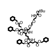 CC(C)(C)OC(=O)NCCOCCOCC(=O)NC(CCC(=O)NC(CCC(=O)OCc1ccccc1)C(=O)OCc1ccccc1)C(=O)N[C@@H](CCC(=O)OCc1ccccc1)C(=O)OCc1ccccc1